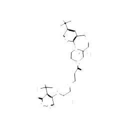 C[C@@H](COCCC(=O)N1C[C@@H]2COCc3cc(C(F)(F)F)cnc3N2[C@@H](C)C1)Nc1cn[nH]c(=O)c1C(F)(F)F